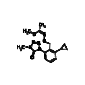 COC(C)=NOCc1c(C2CC2)cccc1-n1nnn(C)c1=O